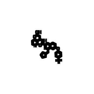 CC(C)(C)c1ccc(Oc2ccc3cc(C(=O)NC(CC(=O)O)c4cccnc4)nc(CC4CCCC4)c3c2)cc1